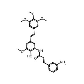 COc1cc(C=Cc2cc(OC)c(OC)c(OC)c2)cc(NC(=O)/C=C/c2cccc(N)c2)c1O